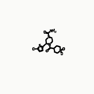 NC(=O)N1CCN(C(=O)C2CCS(=O)(=O)CC2)C(c2ccc(Cl)s2)C1